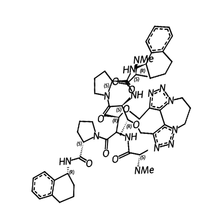 CN[C@@H](C)C(=O)NC(C(=O)N1CCC[C@H]1C(=O)N[C@@H]1CCCc2ccccc21)[C@@H](C)OCc1nnn2c1-c1c(CO[C@H](C)[C@H](NC(=O)[C@H](C)NC)C(=O)N3CCC[C@H]3C(=O)N[C@@H]3CCCc4ccccc43)nnn1CCC2